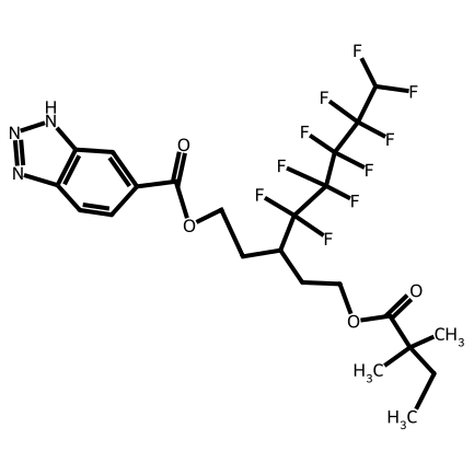 CCC(C)(C)C(=O)OCCC(CCOC(=O)c1ccc2nn[nH]c2c1)C(F)(F)C(F)(F)C(F)(F)C(F)(F)C(F)F